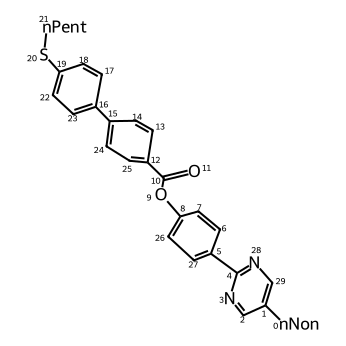 CCCCCCCCCc1cnc(-c2ccc(OC(=O)c3ccc(-c4ccc(SCCCCC)cc4)cc3)cc2)nc1